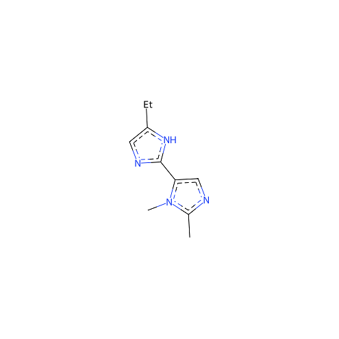 CCc1cnc(-c2cnc(C)n2C)[nH]1